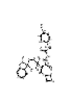 CN(C)C1(c2ccccc2)CCC2(CC1)CN(CC(=O)Nc1ccc(F)cn1)C(=O)N2CC1CCC1